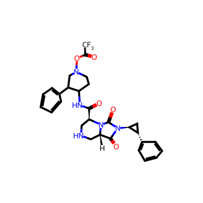 O=C(NC1CCN(OC(=O)C(F)(F)F)CC1c1ccccc1)[C@@H]1CNC[C@H]2C(=O)N([C@H]3C[C@@H]3c3ccccc3)C(=O)N12